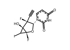 C#C[C@]1(F)[C@H](n2ccc(=O)[nH]c2=O)O[C@]2(F)C(I)[C@@]21O